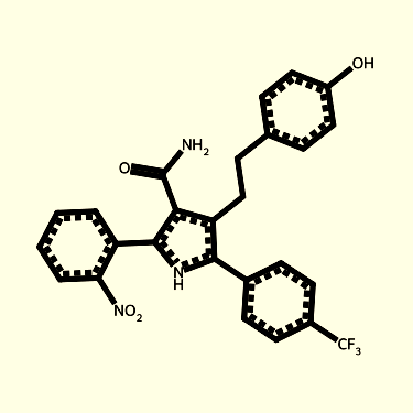 NC(=O)c1c(-c2ccccc2[N+](=O)[O-])[nH]c(-c2ccc(C(F)(F)F)cc2)c1CCc1ccc(O)cc1